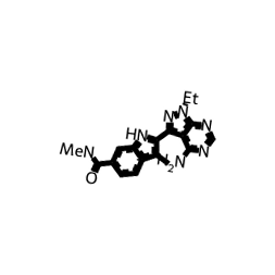 CCn1nc(-c2[nH]c3cc(C(=O)NC)ccc3c2C)c2c(N)ncnc21